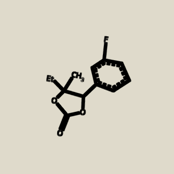 CCC1(C)OC(=O)OC1c1cccc(F)c1